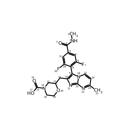 CNC(=O)c1cc(F)c(-c2c(CC3CN(C(=O)O)CCO3)nc3nc(C)ccn23)c(F)c1